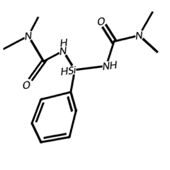 CN(C)C(=O)N[SiH](NC(=O)N(C)C)c1ccccc1